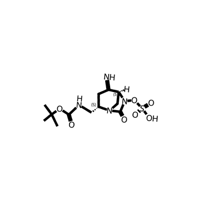 CC(C)(C)OC(=O)NC[C@@H]1CC(=N)[C@@H]2CN1C(=O)N2OS(=O)(=O)O